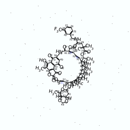 CC(=O)O[C@H]1[C@H](C)[C@H](O)[C@H](C)[C@@H](O)[C@@H](C(C)OC(=O)C(C)(C)CC(=O)NCc2cccc(C(F)(F)F)c2)/C=C/C=C(/C)C(=O)NC2=CC(=O)c3c(c(O)c(C)c4c3C(=O)[C@@](C)(O/C=C/[C@H](O[C@H]3C[C@@H]5OCO[C@@H]5[C@@H](C)O3)[C@H]1C)O4)C2=O